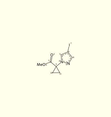 COC(=O)C1(n2cc(I)cn2)CC1